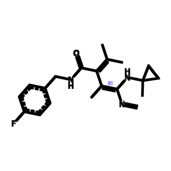 C=N/C(NC1(C)CC1)=C(\C)C(C(=O)NCc1ccc(F)cc1)=C(C)C